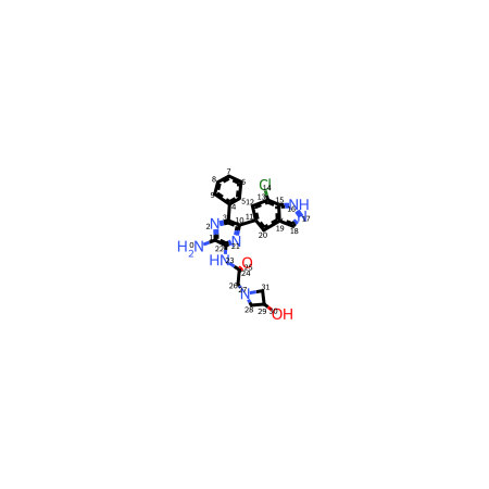 Nc1nc(-c2ccccc2)c(-c2cc(Cl)c3[nH]ncc3c2)nc1NC(=O)CN1CC(O)C1